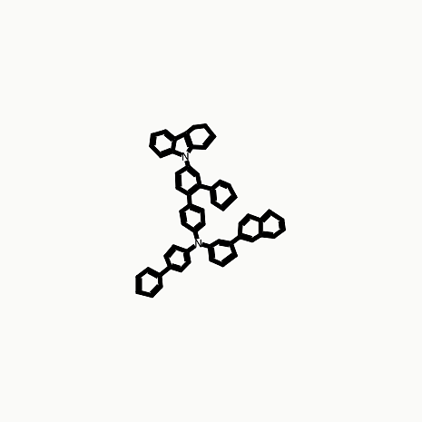 C1=Cc2c(c3ccccc3n2-c2ccc(-c3ccc(N(c4ccc(-c5ccccc5)cc4)c4cccc(-c5ccc6ccccc6c5)c4)cc3)c(-c3ccccc3)c2)CC1